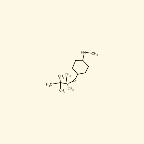 CNC1CCC(O[Si](C)(C)C(C)(C)C)CC1